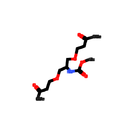 COC(=O)CCOCC(COCCC(=O)OC)NC(=O)OC(C)(C)C